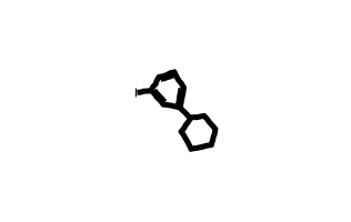 Ic1cccc(C2CCCCC2)c1